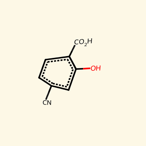 N#Cc1ccc(C(=O)O)c(O)c1